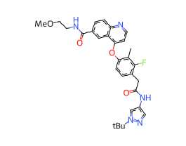 COCCNC(=O)c1ccc2nccc(Oc3ccc(CC(=O)Nc4cnn(C(C)(C)C)c4)c(F)c3C)c2c1